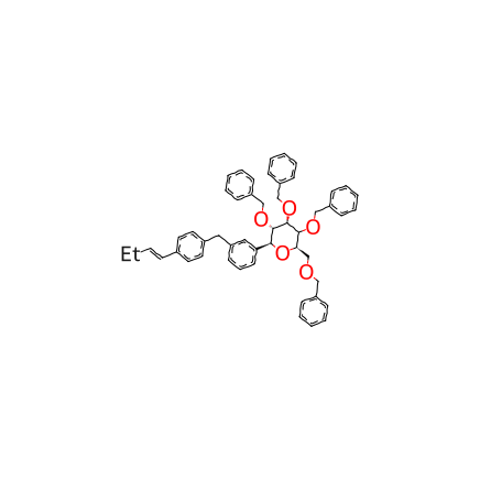 CC/C=C/c1ccc(Cc2cccc([C@@H]3O[C@H](COCc4ccccc4)C(OCc4ccccc4)[C@H](OCc4ccccc4)[C@H]3OCc3ccccc3)c2)cc1